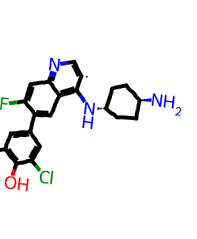 N[C@H]1CC[C@H](Nc2[c]cnc3cc(F)c(-c4cc(F)c(O)c(Cl)c4)cc23)CC1